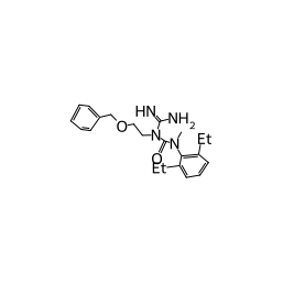 CCc1cccc(CC)c1N(C)C(=O)N(CCOCc1ccccc1)C(=N)N